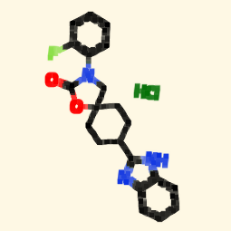 Cl.O=C1OC2(CCC(c3nc4ccccc4[nH]3)CC2)CN1c1ccccc1F